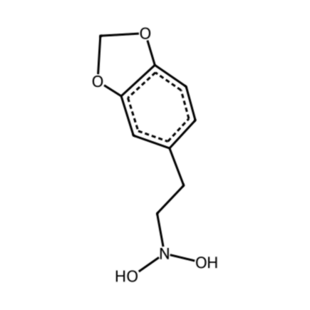 ON(O)CCc1ccc2c(c1)OCO2